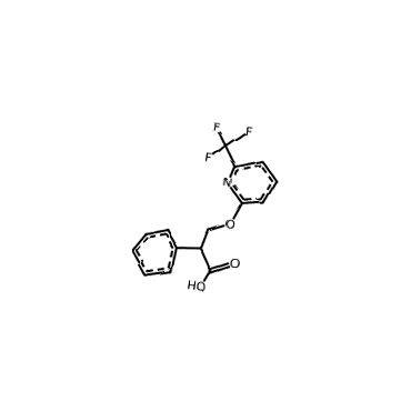 O=C(O)C(COc1cccc(C(F)(F)F)n1)c1ccccc1